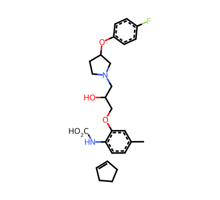 C1=CCCC1.Cc1ccc(NC(=O)O)c(OCC(O)CN2CCC(Oc3ccc(F)cc3)C2)c1